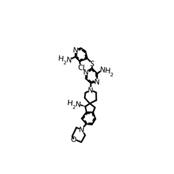 Nc1nc(N2CCC3(CC2)Cc2ccc(N4CCOCC4)cc2[C@H]3N)cnc1Sc1ccnc(N)c1Cl